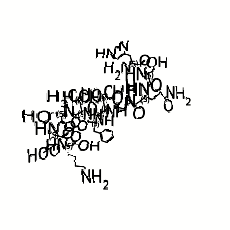 C[C@H](O)[C@@H](NC(=O)CNC(=O)[C@H](CCC(N)=O)NC(=O)[C@H](CO)NC(=O)[C@@H](N)Cc1c[nH]cn1)C(=O)N[C@@H](Cc1ccccc1)C(=O)N[C@H](C(=O)N[C@@H](CO)C(=O)N[C@@H](CC(=O)O)C(=O)N[C@@H](CCCCN)C(=O)O)[C@@H](C)O